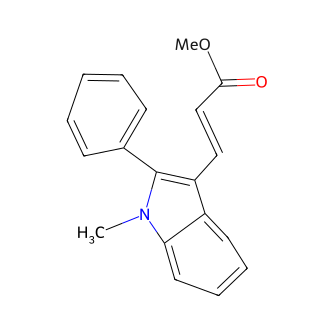 COC(=O)C=Cc1c(-c2ccccc2)n(C)c2ccccc12